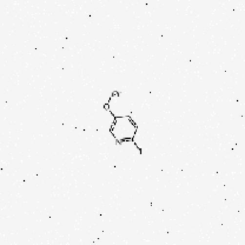 CC(C)Oc1ccc(I)nc1